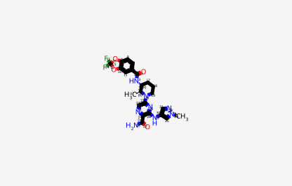 C[C@@H]1[C@H](NC(=O)c2ccc3c(c2)OC(F)(F)O3)CCCN1c1cnc(C(N)=O)c(Nc2cnn(C)c2)n1